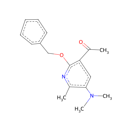 CC(=O)c1cc(N(C)C)c(C)nc1OCc1ccccc1